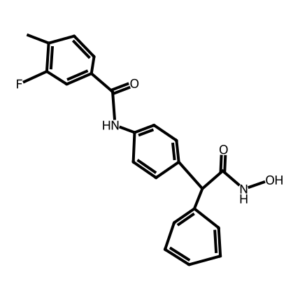 Cc1ccc(C(=O)Nc2ccc(C(C(=O)NO)c3ccccc3)cc2)cc1F